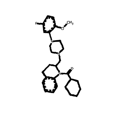 COc1ccc(F)cc1N1CCN(CC2CCc3ccccc3N2C(=O)C2CCCCC2)CC1